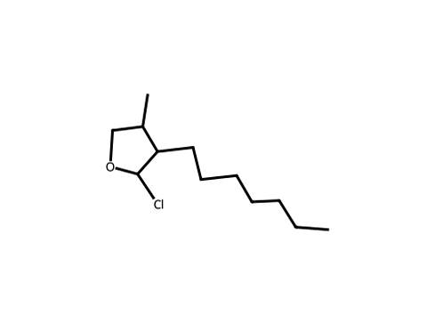 CCCCCCCC1C(C)COC1Cl